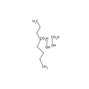 CCCCCCCC.O=C(O)O.O=C(O)O